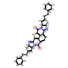 O=c1c2sc3c4c(ccc(c24)c2nc4sc(CCc5ccccc5)cc4n12)c(=O)n1c2cc(CCc4ccccc4)sc2nc31